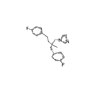 CC(CCc1ccc(F)cc1)(Cn1ccnc1)Sc1ccc(F)cc1